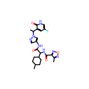 Cc1nonc1C(=O)NC(C(=O)Nc1cnn(C(C)c2cc(F)c[nH]c2=O)c1)C1CCC(C)CC1